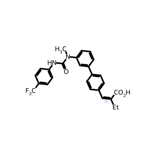 CC/C(=C/c1ccc(-c2cccc(N(C)C(=O)Nc3ccc(C(F)(F)F)cc3)c2)cc1)C(=O)O